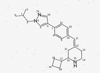 CC(C)Cn1cc(-c2ccc(/C=C3/CCNC(C4CCC4)C3)cc2)cn1